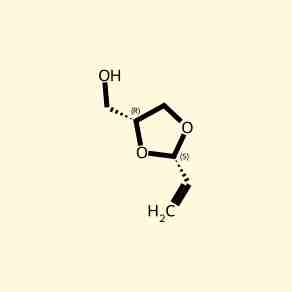 C=C[C@H]1OC[C@@H](CO)O1